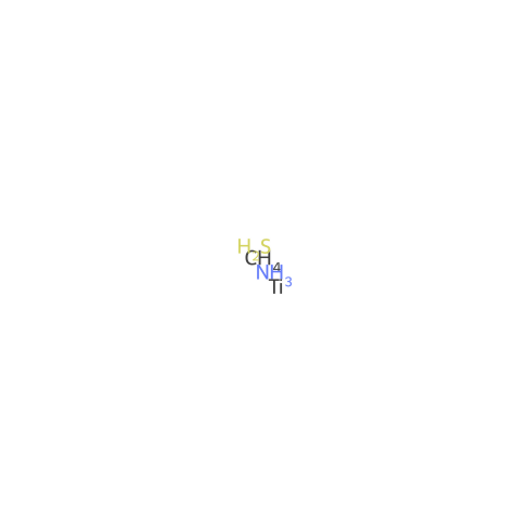 C.N.S.[Ti]